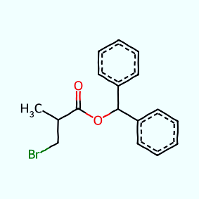 CC(CBr)C(=O)OC(c1ccccc1)c1ccccc1